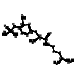 N[C@@H](CCCNC(=O)[C@@H](N)Cc1ccc(OP(=O)(O)O)c(O)c1)C(=O)O